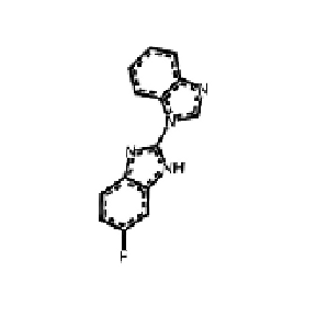 Fc1ccc2nc(-n3cnc4ccccc43)[nH]c2c1